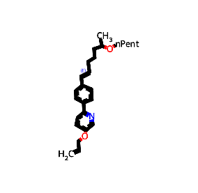 C=CCOc1ccc(-c2ccc(/C=C/CCCC(C)OCCCCC)cc2)nc1